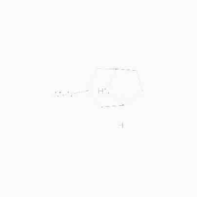 CNC1CC2CC[C@@H](C1)N2